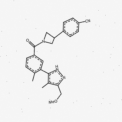 COCc1n[nH]c(-c2cc(C(=O)N3CC(c4ccc(C#N)cc4)C3)ccc2C)c1C